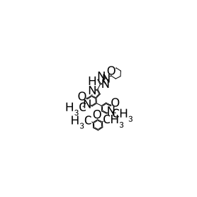 Cc1cccc(C)c1Oc1cn(C)c(=O)cc1-c1cn(C)c(=O)c2[nH]c(-c3cnn(C4CCCCO4)n3)cc12